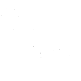 CC(C)(C)c1cc(CS[C@H]2CCCCCC[C@@H]2SCc2cc(C(C)(C)C)cc(-n3ccc4ccccc43)c2O)c(O)c(-n2ccc3ccccc32)c1